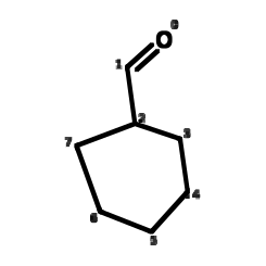 O=CC1C[CH]CCC1